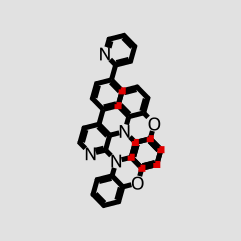 c1ccc(-c2ccc(-c3ccnc(N4c5ccccc5Oc5ccccc54)c3N3c4ccccc4Oc4ccccc43)cc2)nc1